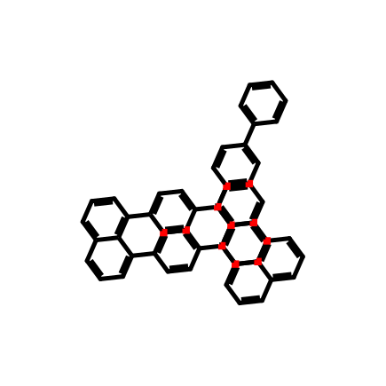 C1=CC(N(c2ccc(-c3ccccc3)cc2)c2ccc(-c3cccc4cccc(-c5ccc(N(c6ccccc6)c6cccc7ccccc67)cc5)c34)cc2)=CCC1